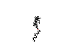 CC/C=C\C/C=C\C/C=C\C/C=C\C/C=C\CCCCSC(CC)(CC)C(=O)Nc1ccc(O)c(C(=O)OC)c1